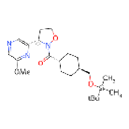 COc1cncc([C@@H]2CCON2C(=O)[C@H]2CC[C@H](CO[Si](C)(C)C(C)(C)C)CC2)n1